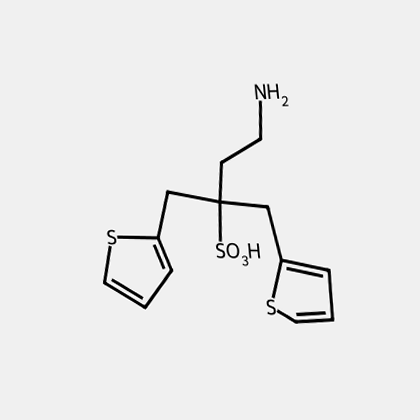 NCCC(Cc1cccs1)(Cc1cccs1)S(=O)(=O)O